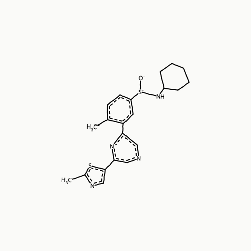 Cc1ncc(-c2cncc(-c3cc([S+]([O-])NC4CCCCC4)ccc3C)n2)s1